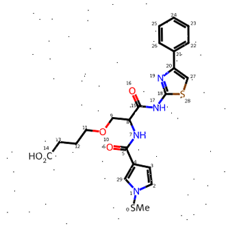 CSn1ccc(C(=O)NC(COCCCC(=O)O)C(=O)Nc2nc(-c3ccccc3)cs2)c1